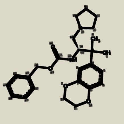 CC(O)(c1ccc2c(c1)OCCO2)[C@@H](CN1CCCC1)NC(=O)OCc1ccccc1